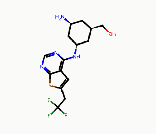 N[C@H]1C[C@@H](CO)C[C@@H](Nc2ncnc3sc(CC(F)(F)F)cc23)C1